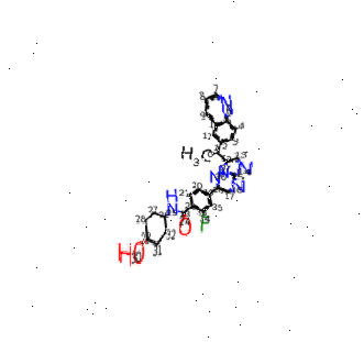 CC(c1ccc2ncccc2c1)c1cnc2ncc(-c3ccc(C(=O)NC4CCC(O)CC4)c(F)c3)nn12